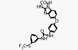 O=C(O)Nc1nc2cc(Oc3ccc(NC(=O)Nc4cccc(SC(F)(F)F)c4)cc3)ccc2[nH]1